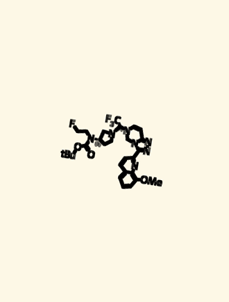 COc1cccc2ccc(-c3nnc4n3CN([C@@H](N3CC[C@H](N(CCF)C(=O)OC(C)(C)C)C3)C(F)(F)F)C=C4)nc12